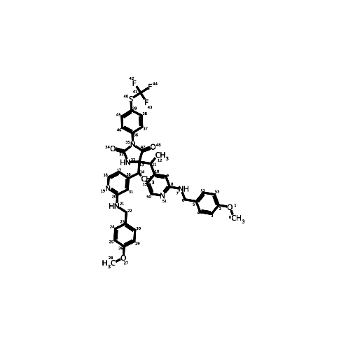 COc1ccc(CNc2cc(C(C)C3(C(C)c4ccnc(NCc5ccc(OC)cc5)c4)NC(=O)N(c4ccc(SC(F)(F)F)cc4)C3=O)ccn2)cc1